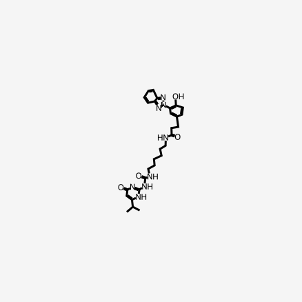 CC(C)c1cc(=O)nc(NC(=O)NCCCCCCNC(=O)CCc2ccc(O)c(-n3nc4ccccc4n3)c2)[nH]1